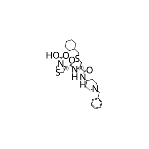 O=C(NC1CCN(Cc2ccccc2)CC1)[C@H](CSCC1CCCCC1)NC(=O)[C@@H]1CSCN1C(=O)O